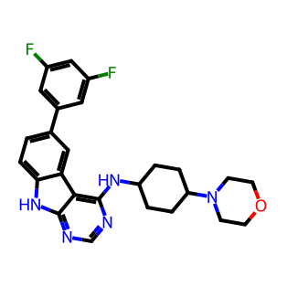 Fc1cc(F)cc(-c2ccc3[nH]c4ncnc(NC5CCC(N6CCOCC6)CC5)c4c3c2)c1